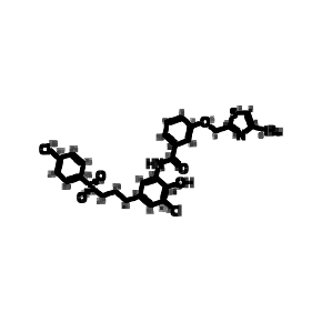 CC(C)(C)c1csc(COc2cccc(C(=O)Nc3cc(CCCS(=O)(=O)c4ccc(Cl)cc4)cc(Cl)c3O)c2)n1